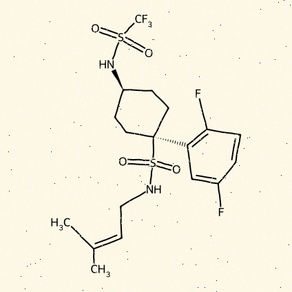 CC(C)=CCNS(=O)(=O)[C@]1(c2cc(F)ccc2F)CC[C@H](NS(=O)(=O)C(F)(F)F)CC1